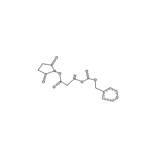 O=C(CNOC(=O)OCc1ccccc1)ON1C(=O)CCC1=O